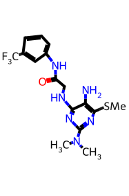 CSc1nc(N(C)C)nc(NCC(=O)Nc2cccc(C(F)(F)F)c2)c1N